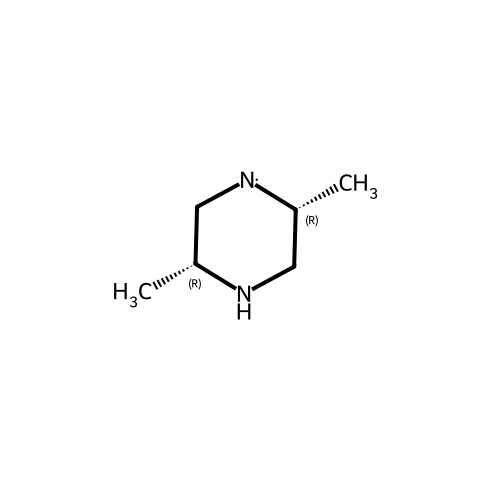 C[C@@H]1CN[C@H](C)C[N]1